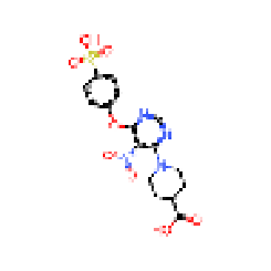 O=C(O)C1CCN(c2ncnc(Oc3ccc(S(=O)(=O)O)cc3)c2[N+](=O)[O-])CC1